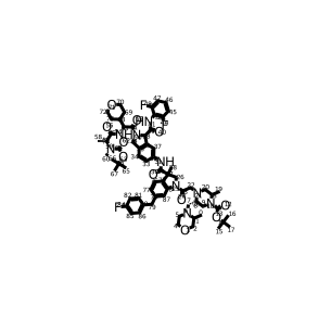 CC1COCCN1C[C@H]1CN(C(=O)OC(C)(C)C)C(C)CN1CC(=O)N1CC(C)(C(=O)Nc2ccc3c(c2)C(C(=O)Nc2c(F)cccc2F)N(C(=O)C(NC(=O)[C@H](C)N(C)C(=O)OC(C)(C)C)C2CCOCC2)C3)c2ccc(Cc3ccc(F)cc3)cc21